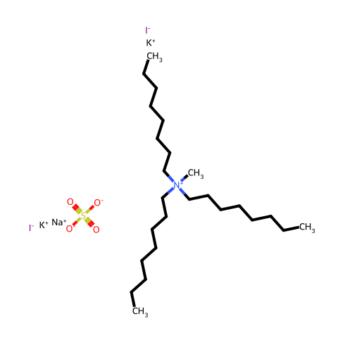 CCCCCCCC[N+](C)(CCCCCCCC)CCCCCCCC.O=S(=O)([O-])[O-].[I-].[I-].[K+].[K+].[Na+]